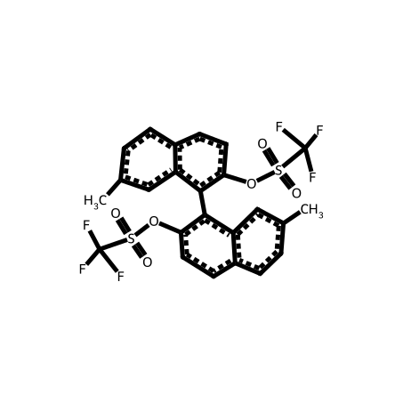 Cc1ccc2ccc(OS(=O)(=O)C(F)(F)F)c(-c3c(OS(=O)(=O)C(F)(F)F)ccc4ccc(C)cc34)c2c1